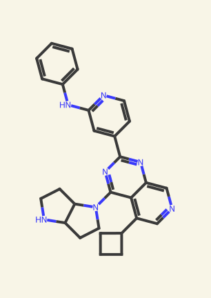 c1ccc(Nc2cc(-c3nc(N4CCC5NCCC54)c4c(C5CCC5)cncc4n3)ccn2)cc1